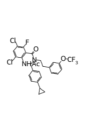 CC(=O)Nc1c(Cl)cc(Cl)c(F)c1C(=O)N(CCc1cccc(OC(F)(F)F)c1)Cc1ccc(C2CC2)cc1